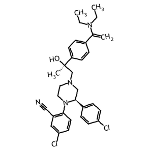 C=C(c1ccc([C@](C)(O)CN2CCN(c3ccc(Cl)cc3C#N)[C@H](c3ccc(Cl)cc3)C2)cc1)N(CC)CC